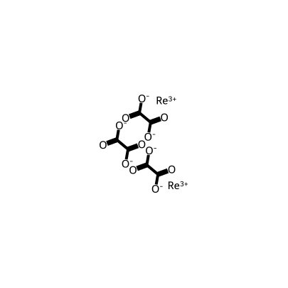 O=C([O-])C(=O)[O-].O=C([O-])C(=O)[O-].O=C([O-])C(=O)[O-].[Re+3].[Re+3]